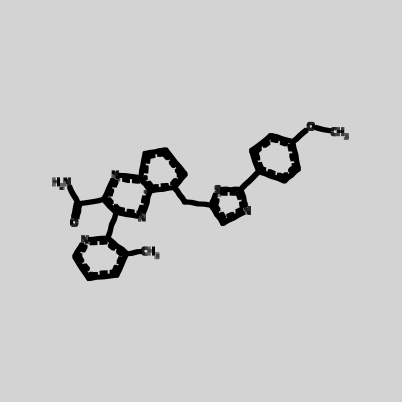 COc1ccc(-c2ncc(Cc3cccc4nc(C(N)=O)c(-c5ncccc5C)nc34)s2)cc1